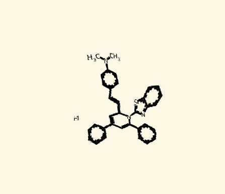 CN(C)c1ccc(C=CC2C=C(c3ccccc3)C=C(c3ccccc3)N2c2nc3ccccc3s2)cc1.I